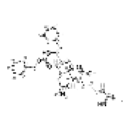 CC(C)CC(NC(=O)C(Cc1ccccc1)NC(=O)OCc1ccccc1)C(=O)NC(CCCNC(=N)N)C(=O)O